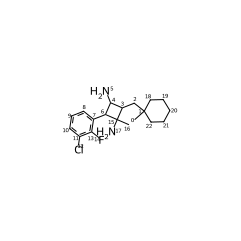 CC1(CC2C(N)C(c3cccc(Cl)c3F)C2(C)N)CCCCC1